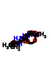 COC(=O)[C@@H]1CCOCCCCOC[C@H](NC(=O)[C@@H](N)CCCCNC(=O)OC(C)(C)C)C(=O)N[C@@H](C)C(=O)N1